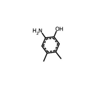 Cc1cc(N)c(O)cc1C